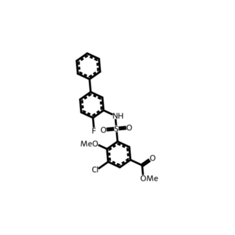 COC(=O)c1cc(Cl)c(OC)c(S(=O)(=O)Nc2cc(-c3ccccc3)ccc2F)c1